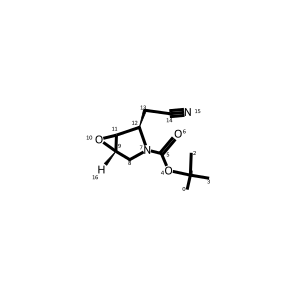 CC(C)(C)OC(=O)N1C[C@@H]2OC2[C@H]1CC#N